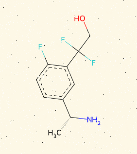 C[C@@H](N)c1ccc(F)c(C(F)(F)CO)c1